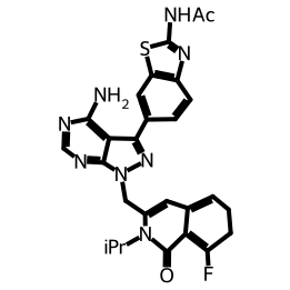 CC(=O)Nc1nc2ccc(-c3nn(Cc4cc5c(c(=O)n4C(C)C)=C(F)CCC=5)c4ncnc(N)c34)cc2s1